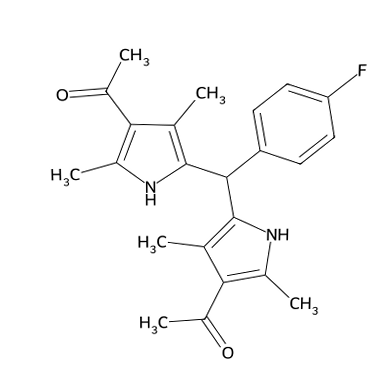 CC(=O)c1c(C)[nH]c(C(c2ccc(F)cc2)c2[nH]c(C)c(C(C)=O)c2C)c1C